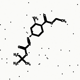 CCOC(=O)[C@H]1CC[C@H](/N=N/C(=O)OC(C)(C)C)C[C@@H]1C